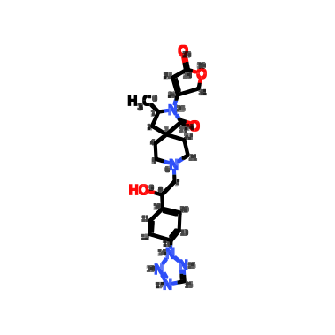 CC1CC2(CCN(CC(O)c3ccc(-n4ncnn4)cc3)CC2)C(=O)N1C1=CC(=O)OC1